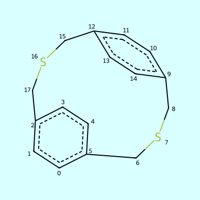 c1cc2ccc1CSCc1ccc(cc1)CSC2